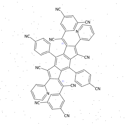 N#CC1=C(c2ccccn2)/C(=C(/C#N)c2cc(C#N)cc(C#N)c2)c2c1c(-c1ccc(C#N)cc1)c1c(c2-c2ccc(C#N)cc2)C(C#N)=C(c2ccccn2)/C1=C(/C#N)c1cc(C#N)cc(C#N)c1